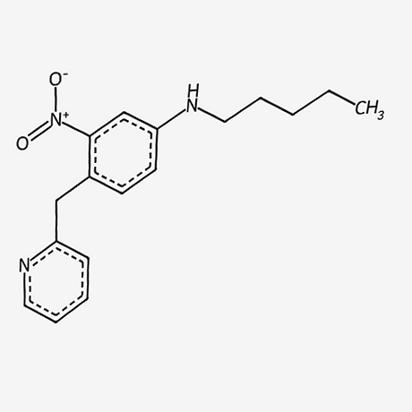 CCCCCNc1ccc(Cc2ccccn2)c([N+](=O)[O-])c1